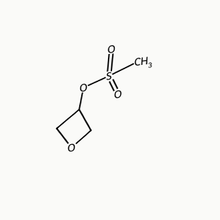 CS(=O)(=O)OC1COC1